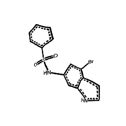 O=S(=O)(Nc1cc(Br)c2cc[nH]c2c1)c1ccccc1